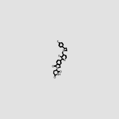 O=C1CCC(N2Cc3cc(-c4nccc(CN5CCC5c5ccc(F)cc5)c4F)ccc3C2=O)C(=O)N1